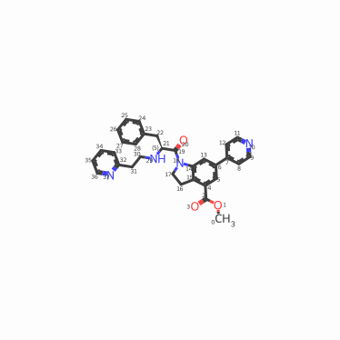 COC(=O)c1cc(-c2ccncc2)cc2c1CCN2C(=O)[C@H](Cc1ccccc1)NCCc1ccccn1